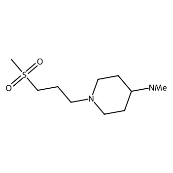 CNC1CCN(CCCS(C)(=O)=O)CC1